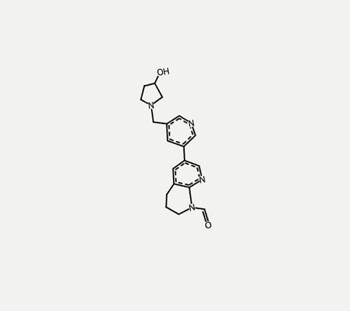 O=CN1CCCc2cc(-c3cncc(CN4CCC(O)C4)c3)cnc21